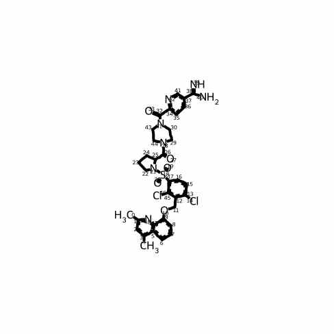 Cc1cc(C)c2cccc(OCc3c(Cl)ccc(S(=O)(=O)N4CCCC4C(=O)N4CCN(C(=O)c5ccc(C(=N)N)cn5)CC4)c3Cl)c2n1